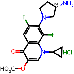 Cl.N[C@H]1CCN(c2c(F)cc3c(=O)c(OC(=O)O)cn(C4CC4)c3c2F)C1